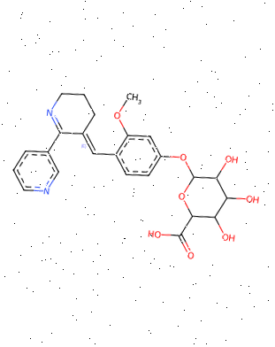 COc1cc(OC2OC(C(=O)O)C(O)C(O)C2O)ccc1/C=C1\CCCN=C1c1cccnc1